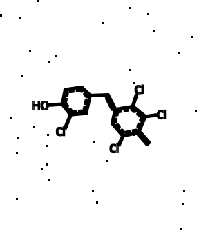 C=c1c(Cl)c/c(=C\c2ccc(O)c(Cl)c2)c(Cl)c1Cl